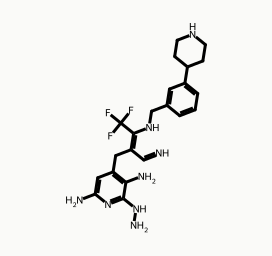 N=C/C(Cc1cc(N)nc(NN)c1N)=C(\NCc1cccc(C2CCNCC2)c1)C(F)(F)F